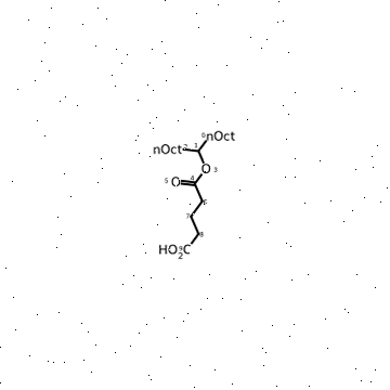 CCCCCCCCC(CCCCCCCC)OC(=O)CCCC(=O)O